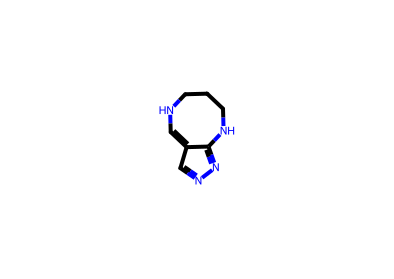 C1=NN=C2NCCCNC=C12